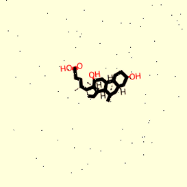 CC1C[C@@H]2C[C@H](O)CC[C@]2(C)[C@H]2C[C@H](O)[C@]3(C)[C@@H]([C@H](C)CCC(=O)O)CC[C@H]3[C@H]12